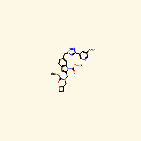 CSc1cncc(-c2cn(Cc3ccc4cc(CN(CC5CCC5)C(=O)OC(C)(C)C)n(C(=O)OC(C)(C)C)c4c3)nn2)c1